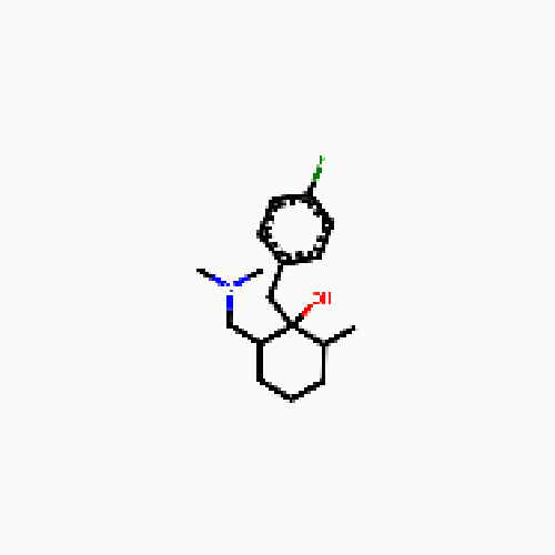 CC1CCCC(CN(C)C)C1(O)Cc1ccc(F)cc1